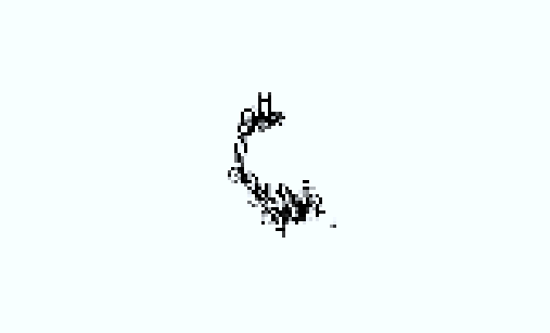 COc1cc(C(=O)NC2CCN(C(=O)CCN3CCN(C4=CC(N5CCC(=O)NC5=O)C(OC)C=C4)CC3)CC2)ccc1Nc1ncc2c(n1)N(C1CCCC1)CC(F)(F)C(=O)N2C